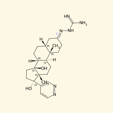 C[C@]12CC/C(=N\NC(=N)N)C[C@H]1CC[C@@H]1[C@@H]2CC[C@]2(C)[C@@](O)(c3ccnnc3)CC[C@]12O